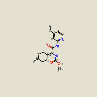 C=Cc1ccnc(NC(=O)[C@@H](NC(=O)OC(C)(C)C)C2CCC(C)CC2)c1